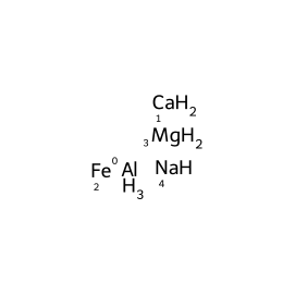 [AlH3].[CaH2].[Fe].[MgH2].[NaH]